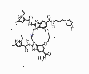 CCn1nc(C)cc1C(=O)Nc1nc2cc(C(N)=O)cc3c2n1C/C=C/Cn1c(NC(=O)c2cc(C)nn2CC)nc2cc(C(=O)NCCCN4CC[C@H](F)C4)cc(c21)OCCCO3